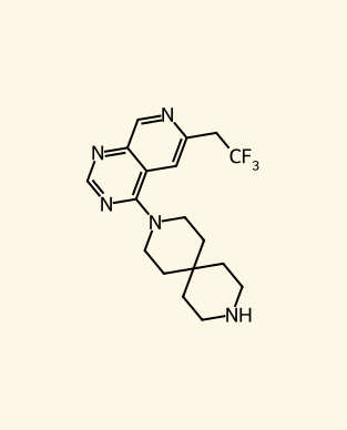 FC(F)(F)Cc1cc2c(N3CCC4(CCNCC4)CC3)ncnc2cn1